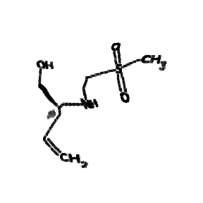 C=C[C@@H](CO)NCS(C)(=O)=O